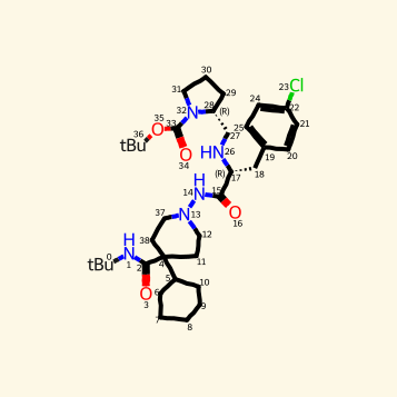 CC(C)(C)NC(=O)C1(C2CCCCC2)CCN(NC(=O)[C@@H](Cc2ccc(Cl)cc2)NC[C@H]2CCCN2C(=O)OC(C)(C)C)CC1